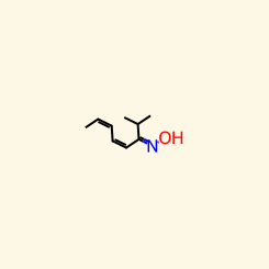 C\C=C/C=C\C(=N\O)C(C)C